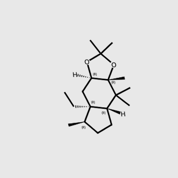 CC[C@]12C[C@H]3OC(C)(C)O[C@]3(C)C(C)(C)[C@@H]1CC[C@H]2C